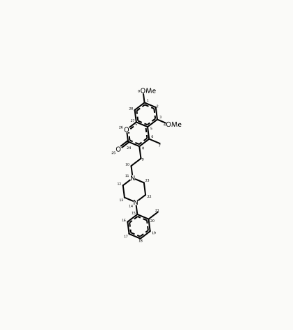 COc1cc(OC)c2c(C)c(CCN3CCN(c4ccccc4C)CC3)c(=O)oc2c1